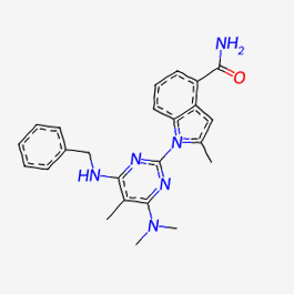 Cc1c(NCc2ccccc2)nc(-n2c(C)cc3c(C(N)=O)cccc32)nc1N(C)C